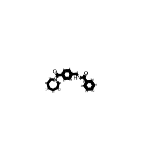 O=C(NCc1ccc(C(=O)N2CCCCCC2)cc1)c1ccccc1